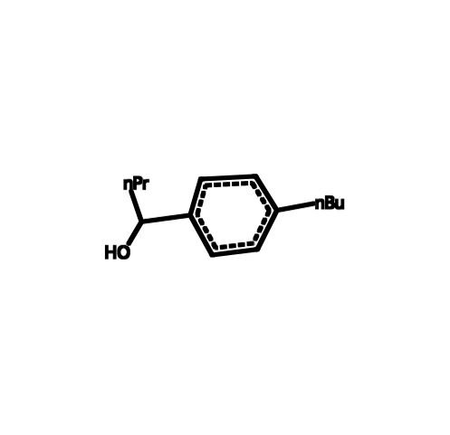 CCCCc1ccc(C(O)CCC)cc1